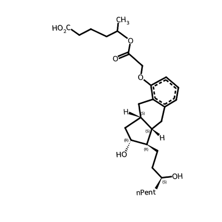 CCCCC[C@H](O)CC[C@@H]1[C@H]2Cc3cccc(OCC(=O)OC(C)CCCC(=O)O)c3C[C@H]2C[C@H]1O